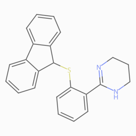 c1ccc(C2=NCCCN2)c(SC2c3ccccc3-c3ccccc32)c1